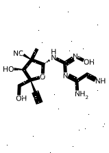 C#C[C@]1(CO)O[C@@H](NC(=N/O)/N=C(/N)C=N)[C@](C)(C#N)[C@@H]1O